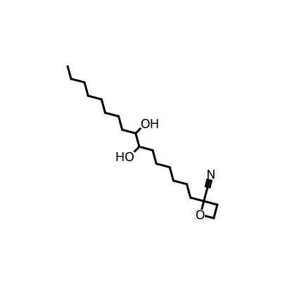 CCCCCCCCC(O)C(O)CCCCCCC1(C#N)CCO1